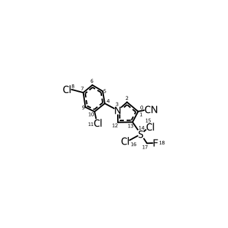 N#Cc1cn(-c2ccc(Cl)cc2Cl)cc1S(Cl)(Cl)CF